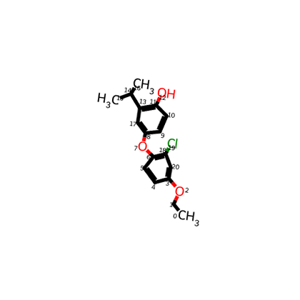 CCOc1ccc(Oc2ccc(O)c(C(C)C)c2)c(Cl)c1